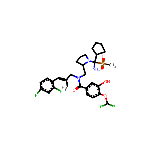 C/C(=C\c1ccc(F)cc1F)CN(CC1CCCN1C(N)(C1CCCC1)S(C)(=O)=O)C(=O)c1ccc(OC(F)F)c(O)c1